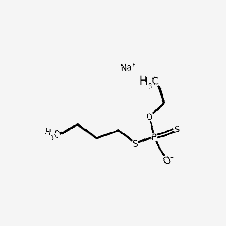 CCCCSP([O-])(=S)OCC.[Na+]